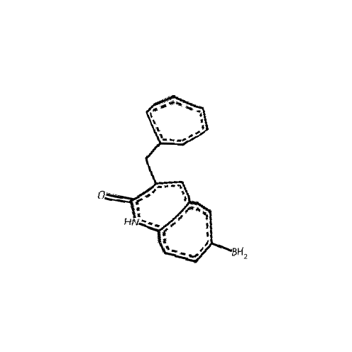 Bc1ccc2[nH]c(=O)c(Cc3ccccc3)cc2c1